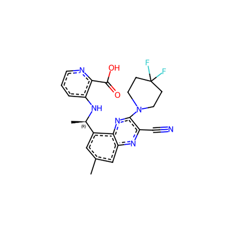 Cc1cc([C@@H](C)Nc2cccnc2C(=O)O)c2nc(N3CCC(F)(F)CC3)c(C#N)nc2c1